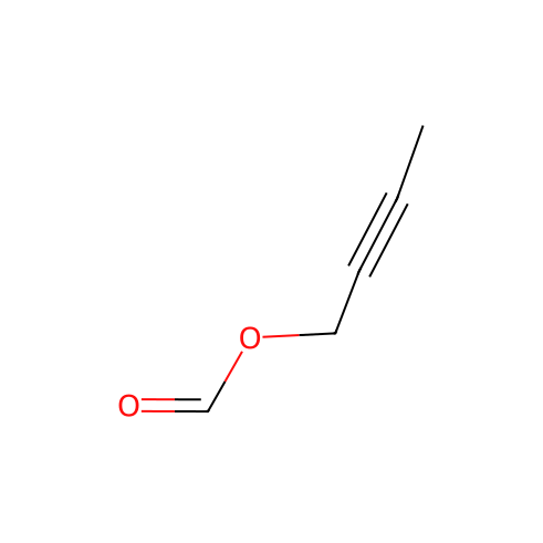 CC#CCOC=O